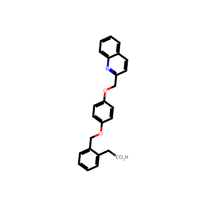 O=C(O)Cc1ccccc1COc1ccc(OCc2ccc3ccccc3n2)cc1